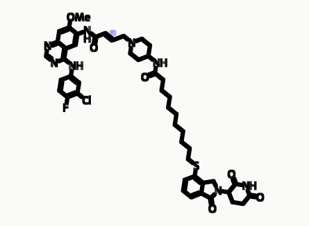 COc1cc2ncnc(Nc3ccc(F)c(Cl)c3)c2cc1NC(=O)/C=C/CN1CCC(NC(=O)CCCCCCCCCCSc2cccc3c2CN(C2CCC(=O)NC2=O)C3=O)CC1